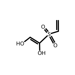 C=CS(=O)(=O)C(O)=CO